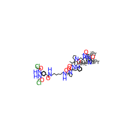 CCC(C)C(C(CC(=O)N1CCCC1C(OC)C(C)C(=O)N[C@@H](Cc1ccccc1)C(=O)N1CCC[C@@H]1C(=O)NCCCCCCNC(=O)c1ccc(NC(=O)CCl)c(NC(=O)CCl)c1)OC)N(C)C(=O)[C@@H](NC(=O)C(C(C)C)N(C)C)C(C)C